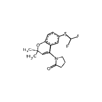 CC1(C)C=C(N2CCCC2=O)c2cc(SC(F)F)ccc2O1